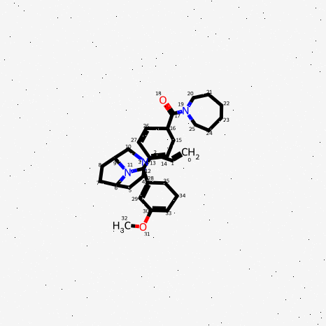 C=CCN1CCC2CCC(C1)N2C(C1=CCC(C(=O)N2CCCCCC2)C=C1)C1=CC(OC)=CCC1